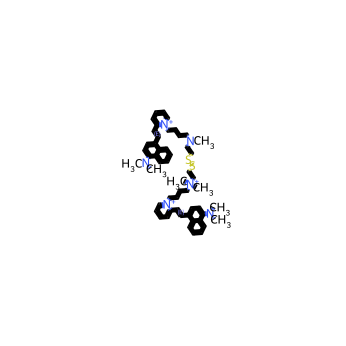 CN(CCCC[n+]1ccccc1/C=C/c1ccc(N(C)C)c2ccccc12)CCSSCC[N+](C)(C)CCCC[n+]1ccccc1/C=C/c1ccc(N(C)C)c2ccccc12